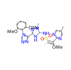 COc1cccc(OC)c1-n1cnnc1C1=NN(C)C(NS(=O)(=O)[C@@H](C)[C@H](OC)c2ncc(C)cn2)N1